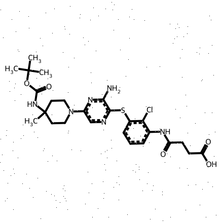 CC1(NC(=O)OC(C)(C)C)CCN(c2cnc(Sc3cccc(NC(=O)CCC(=O)O)c3Cl)c(N)n2)CC1